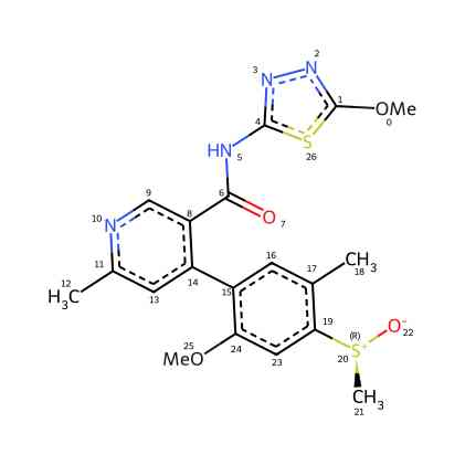 COc1nnc(NC(=O)c2cnc(C)cc2-c2cc(C)c([S@+](C)[O-])cc2OC)s1